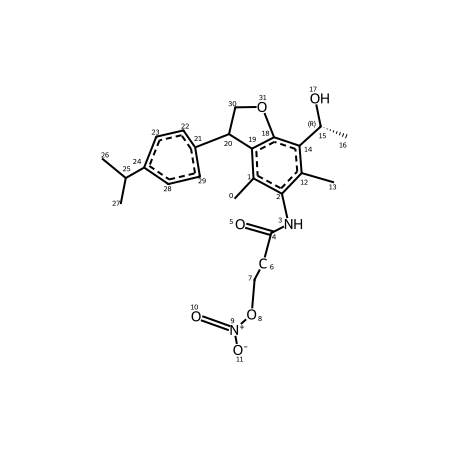 Cc1c(NC(=O)CCO[N+](=O)[O-])c(C)c([C@@H](C)O)c2c1C(c1ccc(C(C)C)cc1)CO2